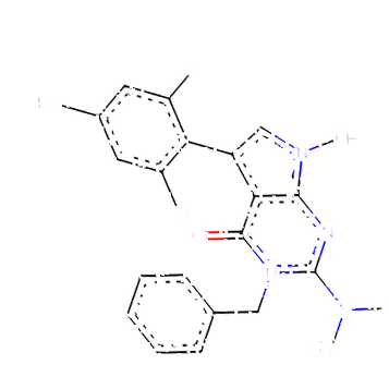 CCCN(CCC)c1nc2c(c(-c3c(C)cc(C)cc3C)cn2C)c(=O)n1Cc1ccccc1